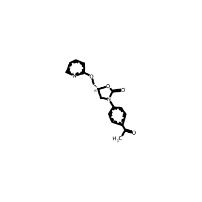 CC(=O)c1ccc(N2C[C@H](COc3ccccn3)OC2=O)cc1